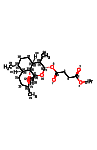 CC(C)OC(=O)CCC(=O)O[C@@H]1O[C@@H]2O[C@@]3(C)CC[C@H]4[C@H](C)CC[C@@H]([C@H]1C)[C@@]24OO3